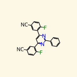 N#Cc1ccc(F)c(-c2cc(-c3cc(C#N)ccc3F)nc(-c3ccccc3)n2)c1